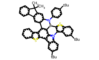 CC(C)(C)c1ccc(N2B3c4sc5ccc(C(C)(C)C)cc5c4-n4c5ccc(C(C)(C)C)cc5c5c6sc7ccccc7c6c(c3c54)-c3cc4c(cc32)C(C)(C)c2ccccc2-4)cc1